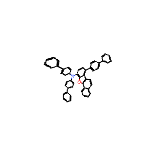 c1ccc(-c2ccc(-c3ccc(N(c4ccc(-c5ccccc5)cc4)c4ccc(-c5ccccc5)cc4)c4oc5c6ccccc6ccc5c34)cc2)cc1